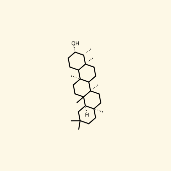 C[C@H]1[C@@H](O)CCC2[C@]3(C)CCC4(C)[C@@H]5CC(C)(C)CC[C@]5(C)CC[C@]4(C)C3CC[C@@]21C